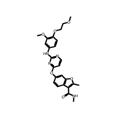 CNC(=O)c1c(C)oc2cc(Oc3ccnc(Nc4ccc(OCCOC)c(OC)c4)n3)ccc12